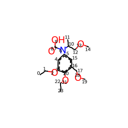 CCOc1cc(N(C(=O)O)C(C)COC)cc(COC)c1OCC